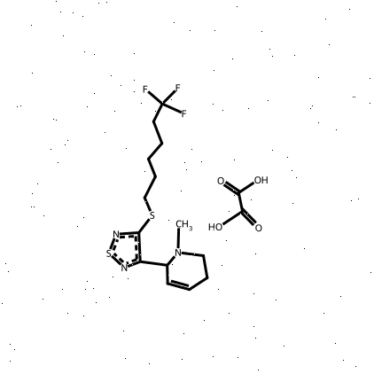 CN1CCC=CC1c1nsnc1SCCCCCC(F)(F)F.O=C(O)C(=O)O